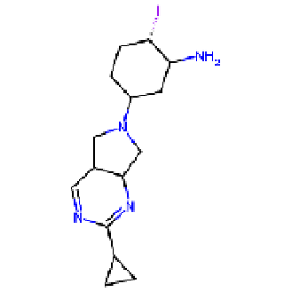 NC1CC(N2CC3C=NC(C4CC4)=NC3C2)CC[C@@H]1I